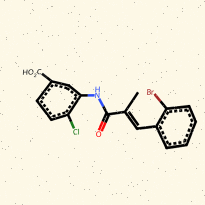 C/C(=C\c1ccccc1Br)C(=O)Nc1cc(C(=O)O)ccc1Cl